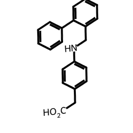 O=C(O)Cc1ccc(NCc2ccccc2-c2ccccc2)cc1